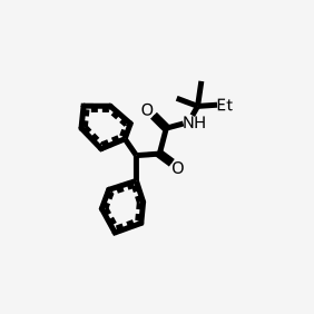 CCC(C)(C)NC(=O)C(=O)C(c1ccccc1)c1ccccc1